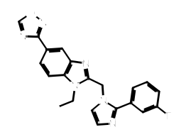 CCn1c(Cn2ccnc2-c2cccc(F)c2)nc2cc(-c3ncon3)ccc21